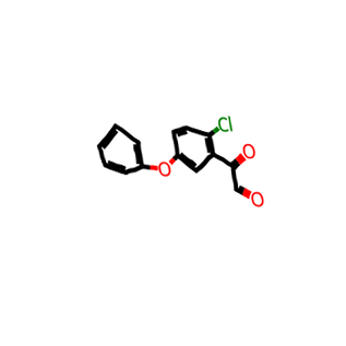 O=CC(=O)c1cc(Oc2ccccc2)ccc1Cl